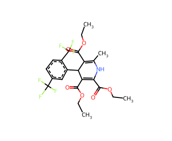 CCOC(=O)C1=C(C(=O)OCC)C(c2cc(C(F)(F)F)ccc2C(F)(F)F)C(C(=O)OCC)=C(C)N1